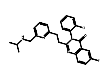 CC(C)NCc1cccc(CCc2nc3ccc(F)cc3c(=O)n2-c2ccccc2Cl)n1